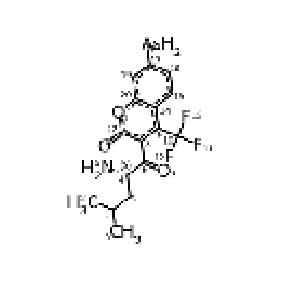 CC(C)C[C@H](N)C(=O)c1c(C(F)(F)F)c2ccc([AsH2])cc2oc1=O